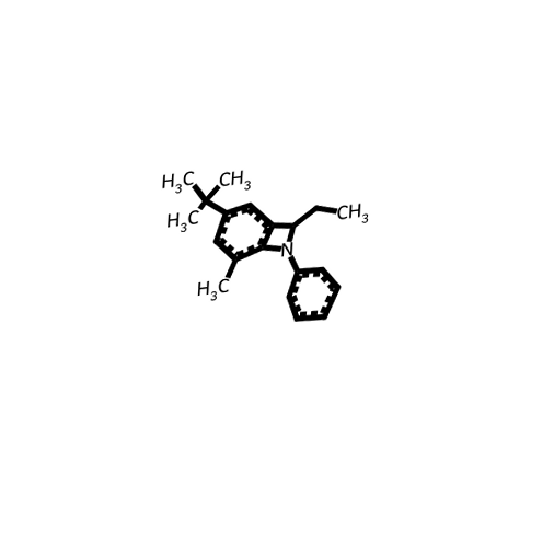 CCC1c2cc(C(C)(C)C)cc(C)c2N1c1ccccc1